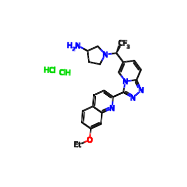 CCOc1ccc2ccc(-c3nnc4ccc([C@@H](N5CCC(N)C5)C(F)(F)F)cn34)nc2c1.Cl.Cl